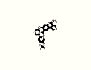 Nc1nc2cc(Cl)c(C(=O)N3CCOC[C@@H]3c3ccc(OC(F)(F)F)cn3)cc2c2c1COC2